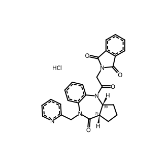 Cl.O=C1c2ccccc2C(=O)N1CC(=O)N1c2ccccc2N(Cc2ccccn2)C(=O)[C@H]2CCC[C@H]21